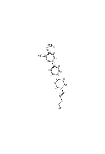 FCC/C=C/[C@H]1CC[C@H](c2ccc(-c3ccc(OC(F)(F)F)c(F)c3)cc2)CC1